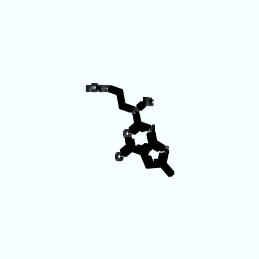 CCCCCCCCCCCCN(CC)c1nc2sc(C)cc2c(=O)o1